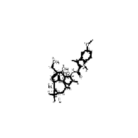 COc1ccc2c(c1)c(C)c(C(=O)O[C@H]1C(C)=CC34C(=O)[C@@H](C=C(CO)[C@@H](O)[C@]13O)[C@H]1[C@@H](CC4C)C1(C)C)n2C